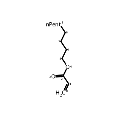 C=CC(=O)O[CH]CCCCCCCC